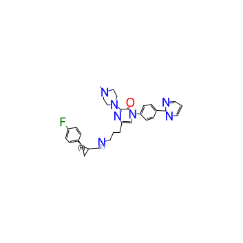 CN1CCN(c2nc(CCC/N=C/C3C[C@H]3c3ccc(F)cc3)cn(-c3ccc(-c4ncccn4)cc3)c2=O)CC1